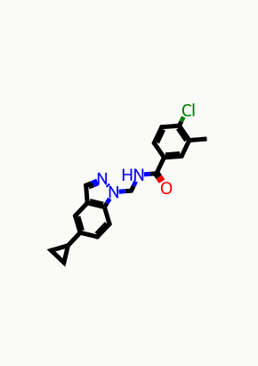 Cc1cc(C(=O)NCn2ncc3cc(C4CC4)ccc32)ccc1Cl